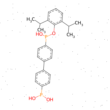 CC(C)c1cccc(C(C)C)c1OP(O)c1ccc(-c2ccc(P(O)O)cc2)cc1